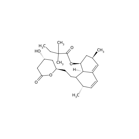 CCC(C)(C)C(=O)O[C@H]1C[C@@H](C)C=C2C=C[C@H](C)C(CC[C@@H]3C[C@@H](O)CC(=O)O3)[C@H]21